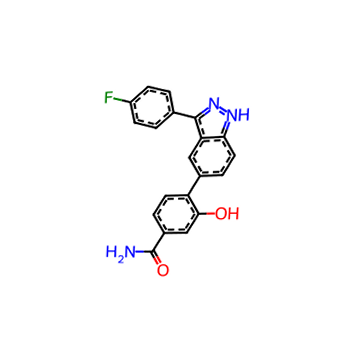 NC(=O)c1ccc(-c2ccc3[nH]nc(-c4ccc(F)cc4)c3c2)c(O)c1